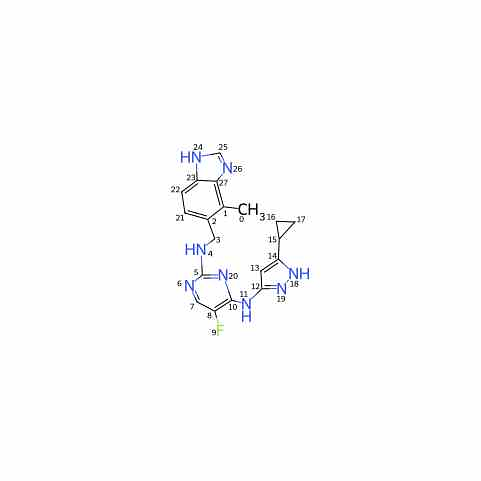 Cc1c(CNc2ncc(F)c(Nc3cc(C4CC4)[nH]n3)n2)ccc2[nH]cnc12